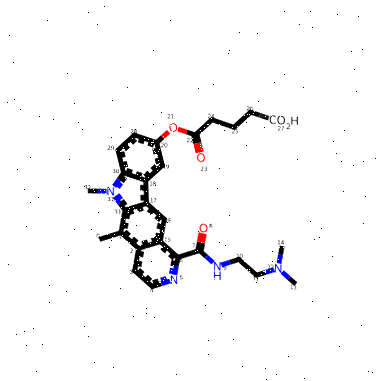 Cc1c2ccnc(C(=O)NCCN(C)C)c2cc2c3cc(OC(=O)CCCC(=O)O)ccc3n(C)c12